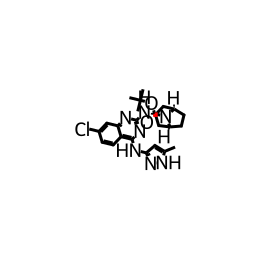 Cc1cc(Nc2nc(N[C@@H]3C[C@H]4CC[C@@H](C3)N4C(=O)OC(C)(C)C)nc3cc(Cl)ccc23)n[nH]1